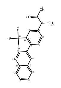 CC(C(=O)O)c1ccc(-c2cnc3ccccc3c2)c(C(F)(F)F)c1